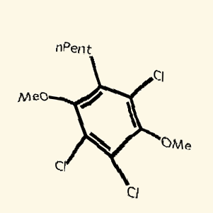 CCCCCc1c(Cl)c(OC)c(Cl)c(Cl)c1OC